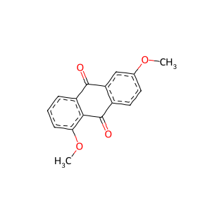 COc1ccc2c(c1)C(=O)c1cccc(OC)c1C2=O